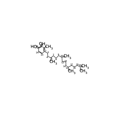 Cc1c(CCC(C)CCCC(C)CCCC(C)CCCC(C)C)ccc(O)c1O